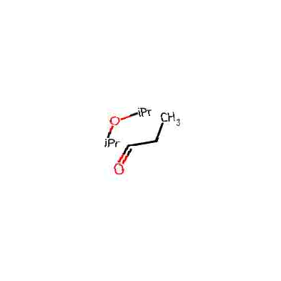 CC(C)OC(C)C.CCC=O